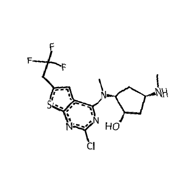 CN[C@H]1C[C@@H](O)[C@@H](N(C)c2nc(Cl)nc3sc(CC(F)(F)F)cc23)C1